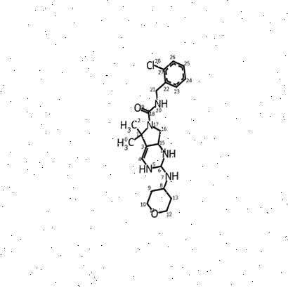 CC1(C)C2=CNC(NC3CCOCC3)NC2CN1C(=O)NCc1ccccc1Cl